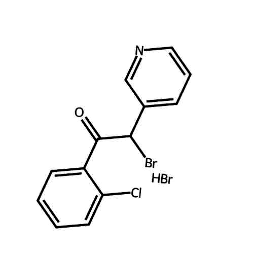 Br.O=C(c1ccccc1Cl)C(Br)c1cccnc1